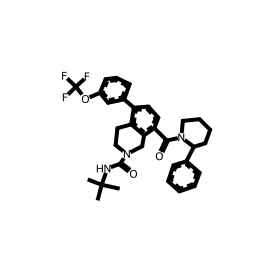 CC(C)(C)NC(=O)N1CCc2c(-c3cccc(OC(F)(F)F)c3)ccc(C(=O)N3CCCCC3c3ccccc3)c2C1